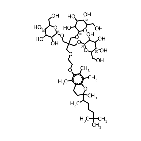 Cc1c(C)c2c(c(C)c1OCCOCC(CO[C@@H]1OC(CO)[C@@H](O)C(O)C1O)(CO[C@@H]1OC(CO)[C@@H](O)C(O)C1O)CO[C@@H]1OC(CO)[C@@H](O)C(O)C1O)CCC(C)(C(C)CCCC(C)(C)C)O2